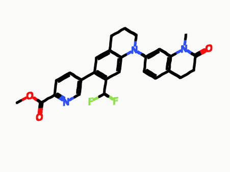 COC(=O)c1ccc(-c2cc3c(cc2C(F)F)N(c2ccc4c(c2)N(C)C(=O)CC4)CCC3)cn1